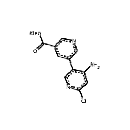 COC(=O)c1cncc(-c2cnc(Cl)cc2N)c1